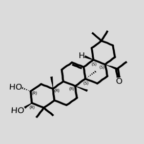 CC(=O)[C@]12CCC(C)(C)C[C@H]1C1=CCC3[C@@]4(C)C[C@@H](O)[C@H](O)C(C)(C)C4CC[C@@]3(C)[C@]1(C)CC2